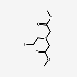 COC(=O)CN(CCF)CC(=O)OC